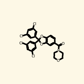 O=C(c1ccc2c(c1)OC(c1cc(Cl)cc(Cl)c1)(c1cc(Cl)cc(Cl)c1)O2)N1CCOCC1